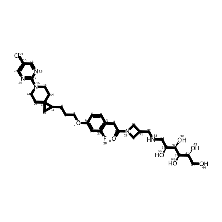 O=C(Cc1ccc(OCCCC2CC23CCN(c2ncc(Cl)cn2)CC3)cc1F)N1CC(CNC[C@H](O)[C@@H](O)[C@H](O)[C@H](O)CO)C1